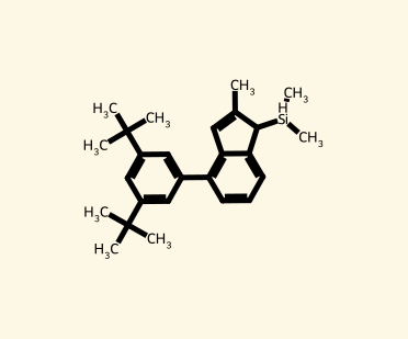 CC1=Cc2c(-c3cc(C(C)(C)C)cc(C(C)(C)C)c3)cccc2C1[SiH](C)C